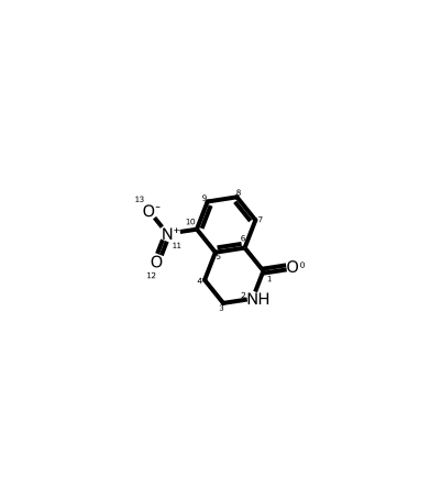 O=C1NCCc2c1cccc2[N+](=O)[O-]